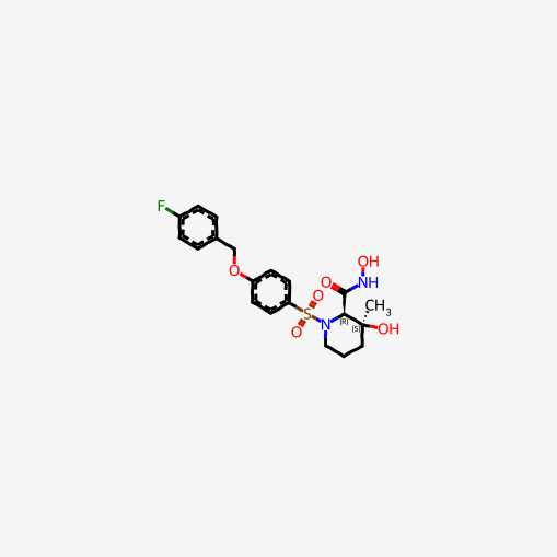 C[C@]1(O)CCCN(S(=O)(=O)c2ccc(OCc3ccc(F)cc3)cc2)[C@H]1C(=O)NO